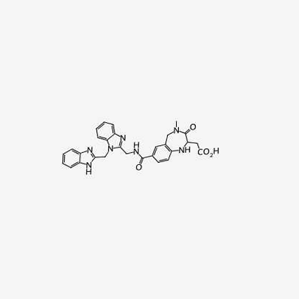 CN1Cc2cc(C(=O)NCc3nc4ccccc4n3Cc3nc4ccccc4[nH]3)ccc2NC(CC(=O)O)C1=O